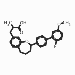 COc1ccc(F)c(-c2ccc(C3CCCc4ccc(CC(C)C(=O)O)cc4O3)cc2)c1